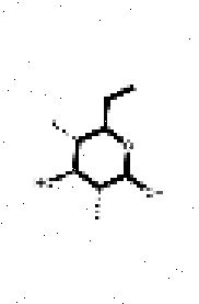 CC[C@H]1OC(O)[C@H](C)[C@@H](O)[C@@H]1C